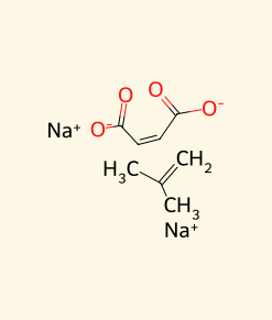 C=C(C)C.O=C([O-])/C=C\C(=O)[O-].[Na+].[Na+]